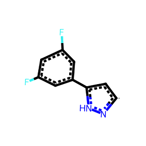 Fc1cc(F)cc(-c2c[c]n[nH]2)c1